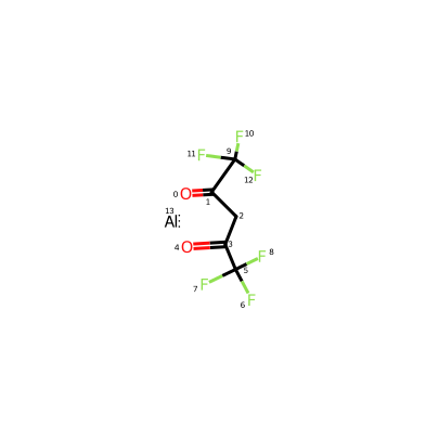 O=C(CC(=O)C(F)(F)F)C(F)(F)F.[Al]